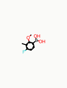 COc1c(B(O)O)ccc(F)c1C